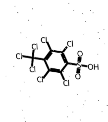 O=S(=O)(O)c1c(Cl)c(Cl)c(C(Cl)(Cl)Cl)c(Cl)c1Cl